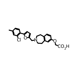 Cc1ccc(-c2ccc(CN3CCc4ccc(OCC(=O)O)cc4CC3)o2)c(Cl)c1